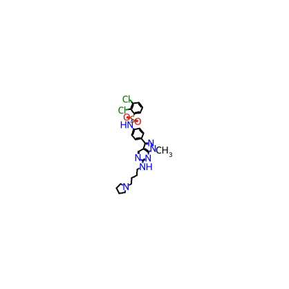 Cn1nc(-c2ccc(NS(=O)(=O)c3cccc(Cl)c3Cl)cc2)c2cnc(NCCCCN3CCCC3)nc21